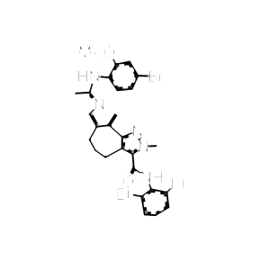 C=C1/C(=C\N=C(/C)Nc2ccc(Br)cc2OC)CCCc2c1nn(C)c2C(=O)Nc1c(CC)cccc1CC